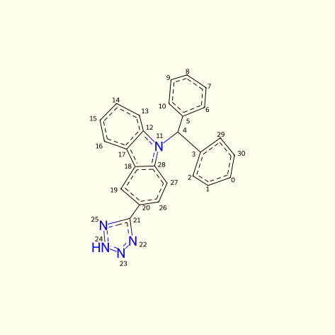 c1ccc(C(c2ccccc2)n2c3ccccc3c3cc(-c4nn[nH]n4)ccc32)cc1